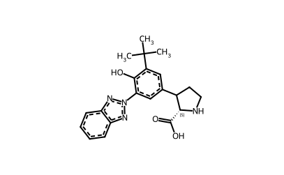 CC(C)(C)c1cc(C2CCN[C@@H]2C(=O)O)cc(-n2nc3ccccc3n2)c1O